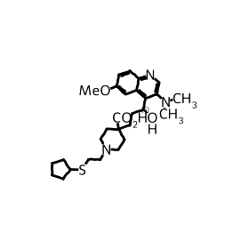 COc1ccc2ncc(N(C)C)c([C@@H](O)CCC3(C(=O)O)CCN(CCSC4CCCC4)CC3)c2c1